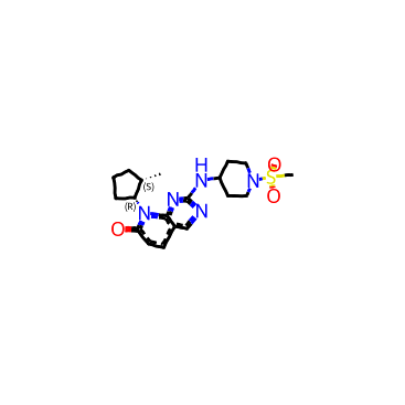 C[C@H]1CCC[C@H]1n1c(=O)ccc2cnc(NC3CCN(S(C)(=O)=O)CC3)nc21